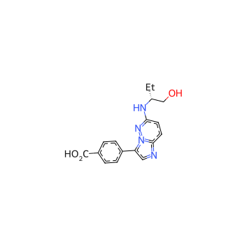 CC[C@H](CO)Nc1ccc2ncc(-c3ccc(C(=O)O)cc3)n2n1